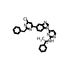 C[C@H](Nc1nccc(-n2cnc3cc(-c4cc(Cl)nc(Cc5ccccc5)n4)ccc32)n1)c1ccccc1